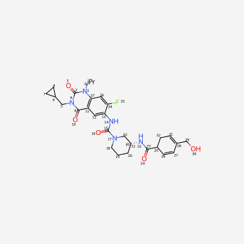 CC(C)n1c(=O)n(CC2CC2)c(=O)c2cc(NC(=O)N3CCC[C@@H](NC(=O)C4C=CC(CO)=CC4)C3)c(F)cc21